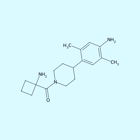 Cc1cc(C2CCN(C(=O)C3(N)CCC3)CC2)c(C)cc1N